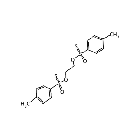 Cc1ccc(S(=O)(=S)OCCOS(=O)(=S)c2ccc(C)cc2)cc1